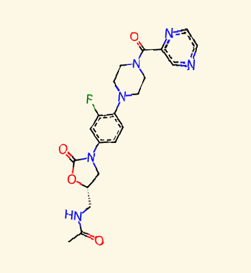 CC(=O)NC[C@H]1CN(c2ccc(N3CCN(C(=O)c4cnccn4)CC3)c(F)c2)C(=O)O1